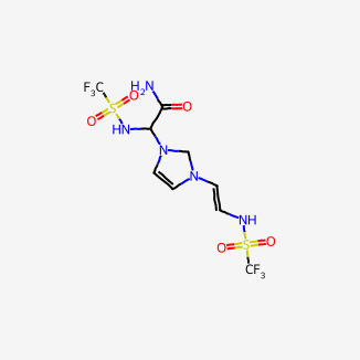 NC(=O)C(NS(=O)(=O)C(F)(F)F)N1C=CN(C=CNS(=O)(=O)C(F)(F)F)C1